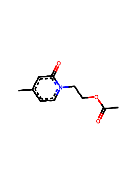 CC(=O)OCCn1ccc(C)cc1=O